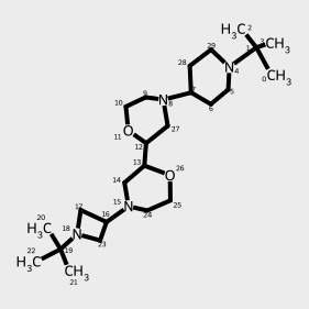 CC(C)(C)N1CCC(N2CCOC(C3CN(C4CN(C(C)(C)C)C4)CCO3)C2)CC1